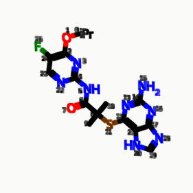 CC(C)Oc1nc(NC(=O)C(C)(C)Sc2nc(N)nc3nc[nH]c23)ncc1F